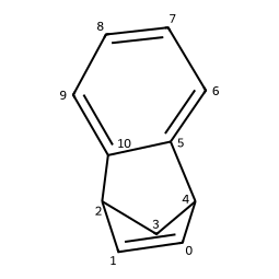 C1=CC2CC1c1ccccc12